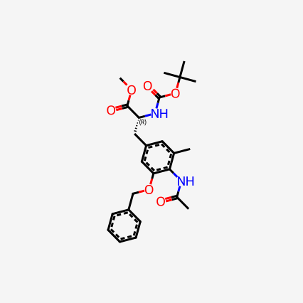 COC(=O)[C@@H](Cc1cc(C)c(NC(C)=O)c(OCc2ccccc2)c1)NC(=O)OC(C)(C)C